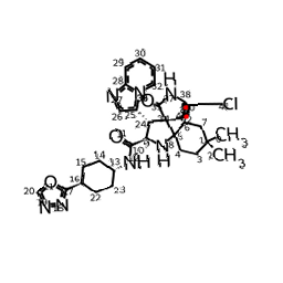 CC1(C)CCC2(CC1)N[C@@H](C(=O)N[C@H]1CC[C@H](c3nnco3)CC1)[C@H](c1cnc3ccccn13)[C@]21C(=O)Nc2cc(Cl)ccc21